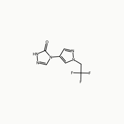 O=c1[nH]ncn1-c1cnn(CC(F)(F)F)c1